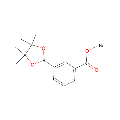 CC(C)(C)OC(=O)c1cccc(B2OC(C)(C)C(C)(C)O2)c1